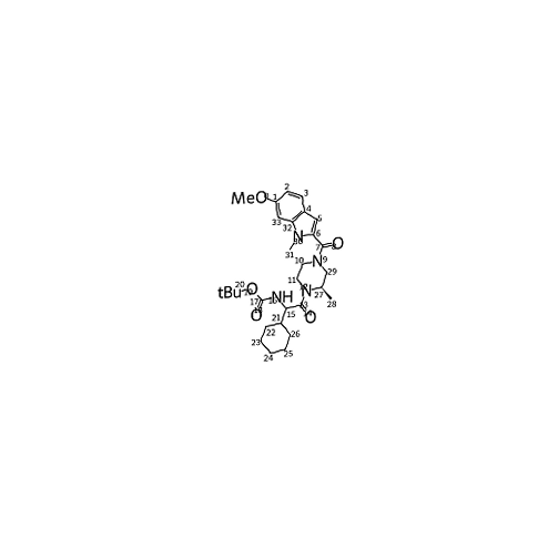 COc1ccc2cc(C(=O)N3CCN(C(=O)C(NC(=O)OC(C)(C)C)C4CCCCC4)[C@H](C)C3)n(C)c2c1